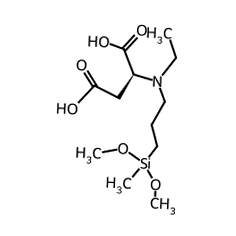 CCN(CCC[Si](C)(OC)OC)[C@@H](CC(=O)O)C(=O)O